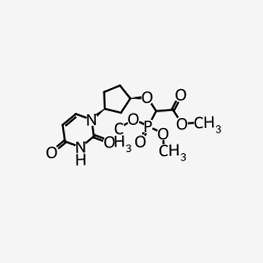 COC(=O)C(O[C@@H]1CC[C@H](n2ccc(=O)[nH]c2=O)C1)P(=O)(OC)OC